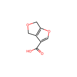 O=C(O)c1coc2c1COC2